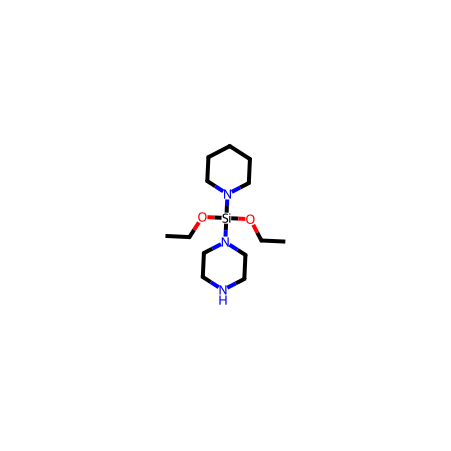 CCO[Si](OCC)(N1CCCCC1)N1CCNCC1